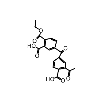 CCOC(=O)c1ccc(C(=O)c2ccc(C(=O)O)c(C(C)=O)c2)cc1C(=O)O